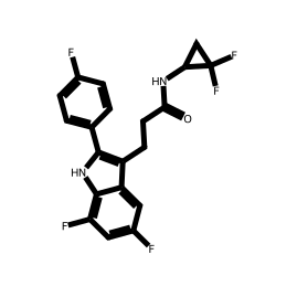 O=C(CCc1c(-c2ccc(F)cc2)[nH]c2c(F)cc(F)cc12)NC1CC1(F)F